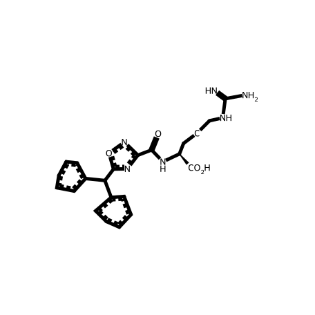 N=C(N)NCCC[C@H](NC(=O)c1noc(C(c2ccccc2)c2ccccc2)n1)C(=O)O